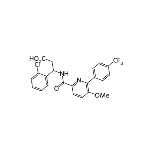 COc1ccc(C(=O)NC(CC(=O)O)c2ccccc2Cl)nc1-c1ccc(C(F)(F)F)cc1